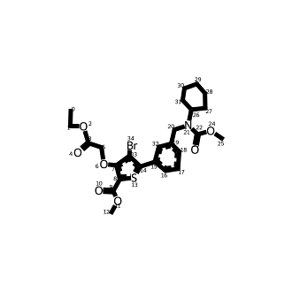 CCOC(=O)COc1c(C(=O)OC)sc(-c2cccc(CN(C(=O)OC)C3CCCCC3)c2)c1Br